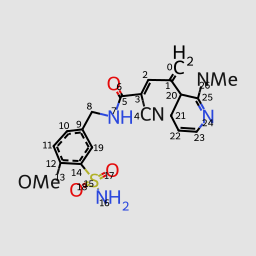 C=C(/C=C(\C#N)C(=O)NCc1ccc(OC)c(S(N)(=O)=O)c1)C1CC=CN=C1NC